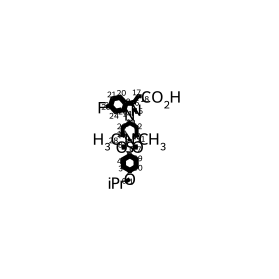 CC(C)Oc1ccc(S(=O)(=O)N2[C@H](C)C[C@H](n3nc(CC(=O)O)c4ccc(F)cc43)C[C@@H]2C)cc1